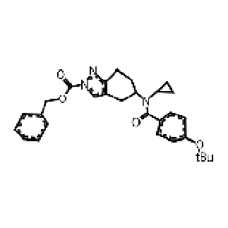 CC(C)(C)Oc1ccc(C(=O)N(C2CC2)C2CCc3nn(C(=O)OCc4ccccc4)cc3C2)cc1